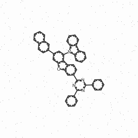 c1ccc(-c2nc(-c3ccccc3)nc(-c3ccc4c(c3)oc3cc(-c5ccc6ccccc6c5)cc(-n5c6ccccc6c6ccccc65)c34)n2)cc1